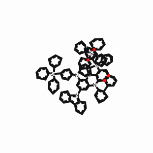 c1ccc(-c2ccccc2N2c3cc(-n4c5ccccc5c5ccccc54)cc4c3B(c3cc([Si](c5ccccc5)(c5ccccc5)c5ccccc5)ccc3N4c3ccc([Si](c4ccccc4)(c4ccccc4)c4ccccc4)cc3)c3c2cccc3[Si](c2ccccc2)(c2ccccc2)c2ccccc2)cc1